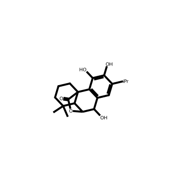 CC(C)c1cc2c(c(O)c1O)C13CCCC(C)(C)C1C(OC3=O)C2O